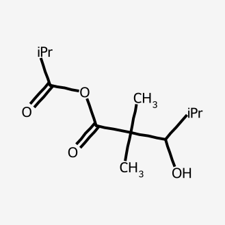 CC(C)C(=O)OC(=O)C(C)(C)C(O)C(C)C